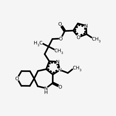 CCn1nc(CC(C)(C)COC(=O)c2cnc(C)o2)c2c1C(=O)NCC1(CCOCC1)C2